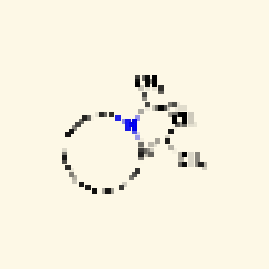 CC(C)[C@@H]1CCCCCCCCN1C(C)C